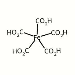 O=[C](O)[Fe]([C](=O)O)([C](=O)O)([C](=O)O)[C](=O)O